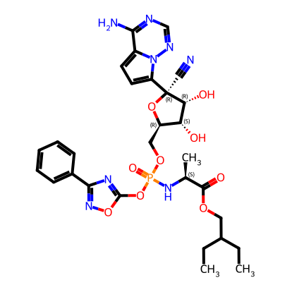 CCC(CC)COC(=O)[C@H](C)NP(=O)(OC[C@H]1O[C@@](C#N)(c2ccc3c(N)ncnn23)[C@H](O)[C@@H]1O)Oc1nc(-c2ccccc2)no1